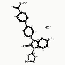 COC(=O)c1ccc(-c2ccc(-n3c(=O)n(C4CCNC4)c4ncc(C(F)(F)F)cc43)cc2)cc1.Cl